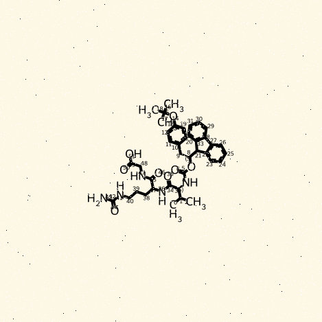 CC(C)[C@H](NC(=O)O[C@@H](Cc1ccc(OC(C)(C)C)cc1)C1c2ccccc2-c2ccccc21)C(=O)NC(CCCNC(N)=O)C(=O)NCC(=O)O